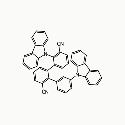 N#Cc1cccc(-c2cccc(C#N)c2-n2c3ccccc3c3ccccc32)c1-c1cccc(-n2c3ccccc3c3ccccc32)c1